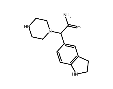 NC(=O)C(c1ccc2c(c1)CCN2)N1CCNCC1